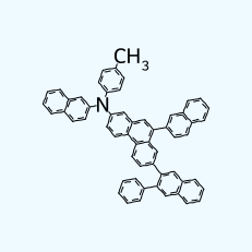 Cc1ccc(N(c2ccc3ccccc3c2)c2ccc3c(c2)cc(-c2ccc4ccccc4c2)c2cc(-c4cc5ccccc5cc4-c4ccccc4)ccc23)cc1